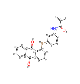 C=C(C)C(=O)Nc1cccc(Sc2cccc3c2C(=O)c2ccccc2C3=O)c1